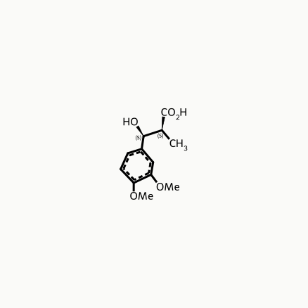 COc1ccc([C@@H](O)[C@H](C)C(=O)O)cc1OC